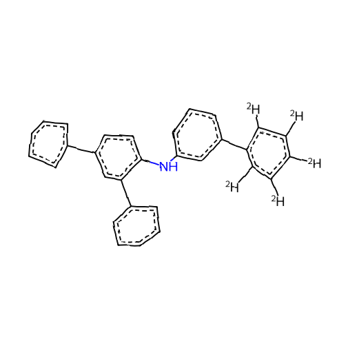 [2H]c1c([2H])c([2H])c(-c2cccc(Nc3ccc(-c4ccccc4)cc3-c3ccccc3)c2)c([2H])c1[2H]